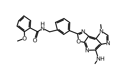 CNc1nc2oc(-c3cccc(CNC(=O)c4ccccc4OC)c3)nc2c2c1ncn2C